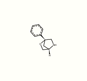 c1ccc([C@]23CN[C@H](CO2)C3)cc1